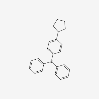 c1ccc([S+](c2ccccc2)c2ccc(C3CCCC3)cc2)cc1